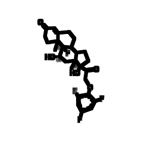 CC12C[C@H](O)[C@@]3(F)C(CCC4=CC(=O)CCC43C)C1CC[C@]2(O)C(=O)COc1c(F)cc(F)cc1F